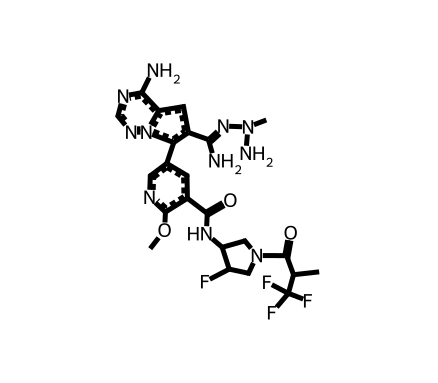 COc1ncc(-c2c(/C(N)=N/N(C)N)cc3c(N)ncnn23)cc1C(=O)NC1CN(C(=O)C(C)C(F)(F)F)CC1F